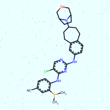 CP(C)c1cc(C#N)ccc1Nc1nc(Nc2ccc3c(c2)CCC(N2C4CCC2COC4)CC3)ncc1Cl